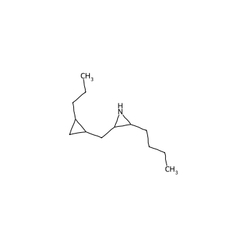 CCCCC1NC1CC1CC1CCC